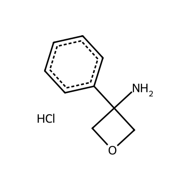 Cl.NC1(c2ccccc2)COC1